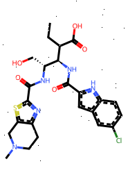 CCC(C(=O)O)[C@@H](NC(=O)c1cc2cc(Cl)ccc2[nH]1)[C@@H](CO)NC(=O)c1nc2c(s1)CN(C)CC2